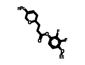 CCCC1=CCC(CCC(=O)Oc2ccc(OCC)c(F)c2F)OC1